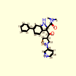 CN(C)C(=O)c1[nH]c2cc(-c3ccccc3)ccc2c1C(=O)C1CSN(c2cccnc2)C1